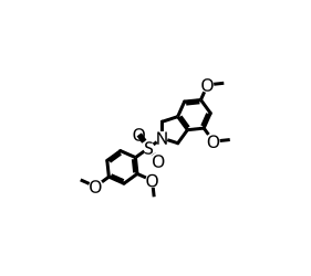 COc1ccc(S(=O)(=O)N2Cc3cc(OC)cc(OC)c3C2)c(OC)c1